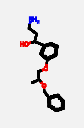 CC(COc1cccc(C(O)CCN)c1)OCc1ccccc1